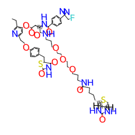 CCc1cnc(CCOc2ccc(CC3SC(=O)NC3=O)cc2)cc1OC(=O)C[C@@H](NC(=O)c1ccc(C2(CF)N=N2)cc1)C(=O)NCCCOCCOCCOCCCNC(=O)CCCC[C@@H]1SC[C@@H]2NC(=O)N[C@@H]21